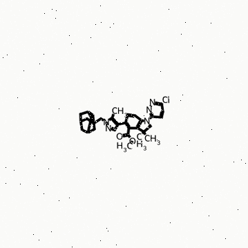 COC(=O)c1c(-c2cnn(CC34CC5CC(CC(C5)C3)C4)c2C)ccc2c1C(C)(C)CN2c1ccc(Cl)nn1